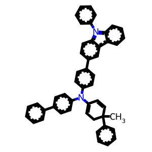 CC1(c2ccccc2)C=CC(N(c2ccc(-c3ccccc3)cc2)c2ccc(-c3ccc4c(c3)c3ccccc3n4-c3ccccc3)cc2)=CC1